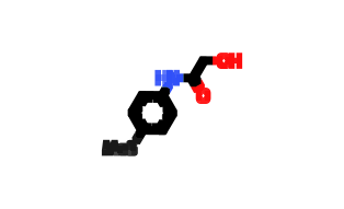 CSc1ccc(NC(=O)CO)cc1